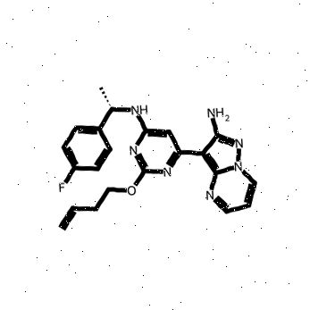 C=CCCOc1nc(N[C@@H](C)c2ccc(F)cc2)cc(-c2c(N)nn3cccnc23)n1